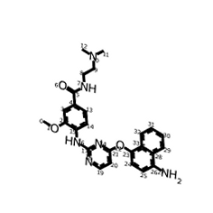 COc1cc(C(=O)NCCN(C)C)ccc1Nc1nccc(Oc2ccc(N)c3ccccc23)n1